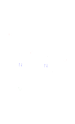 Brc1cnc(OC2CCOCC2)c(N2C3CCC2COC3)c1